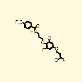 O=C(NCCCOc1c(F)cc(OCC=C(Cl)Cl)cc1Cl)c1ccc(C(F)(F)F)cc1